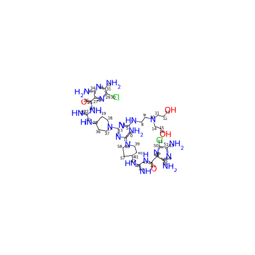 C=C(/N=C(\N=C(/N)NCCN(CCO)CCO)N1CCC(NC(=N)NC(=O)c2nc(Cl)c(N)nc2N)CC1)N1CCC(NC(=N)NC(=O)c2nc(Cl)c(N)nc2N)CC1